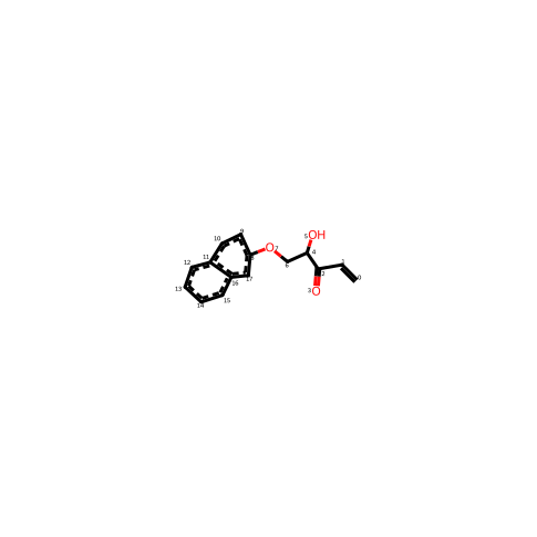 C=CC(=O)C(O)COc1ccc2ccccc2c1